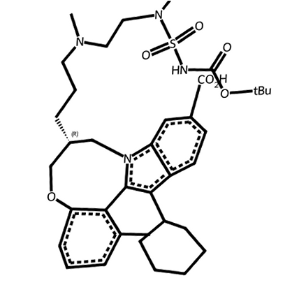 Cc1cccc2c1-c1c(C3CCCCC3)c3ccc(C(=O)O)cc3n1C[C@@H](CCCN(C)CCN(C)S(=O)(=O)NC(=O)OC(C)(C)C)CO2